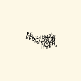 CC1(c2nc(NC(=O)c3ccc(OCC(F)(F)C(F)F)cn3)ccc2F)CS2(=O)=NCCCC2(C)C(N)=N1